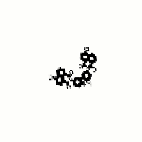 O=C1c2cccc3c(Cl)ccc(c23)C(=O)N1c1ccc2[nH]c3ccc(N4C(=O)c5cccc6c(Cl)ccc(c56)C4=O)cc3c2c1